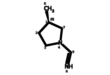 C[C@@H]1CCN(C=N)C1